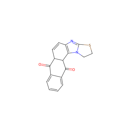 O=C1c2ccccc2C(=O)C2c3c(nc4n3CCS4)C=CC12